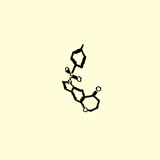 Cc1ccc(S(=O)(=O)n2ccc3cc4c(cc32)C(=O)CCCO4)cc1